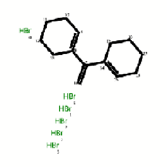 Br.Br.Br.Br.Br.Br.C=C(C1=CCCCC1)C1=CCCCC1